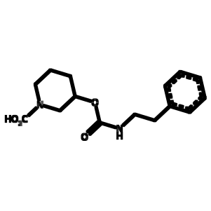 O=C(NCCc1ccccc1)OC1CCCN(C(=O)O)C1